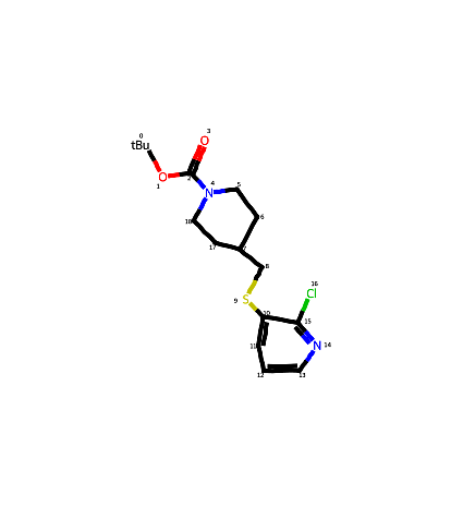 CC(C)(C)OC(=O)N1CCC(CSc2cccnc2Cl)CC1